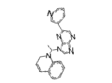 CC(N1CC=Cc2ccccc21)n1cnc2ncc(-c3cccnc3)nc21